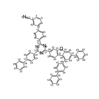 N#Cc1cccc(-c2ccc(-c3nc(-c4ccc(-c5ccccc5)cc4)nc(-c4ccc5c(c4)oc4cc(-c6ccccc6)cc(-c6ccc(-c7ccccc7)cc6)c45)n3)cc2)c1